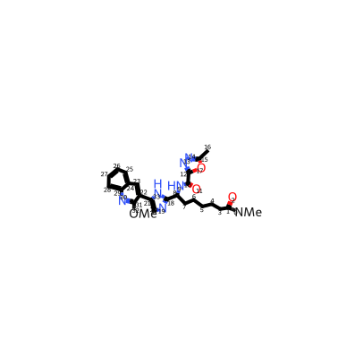 CNC(=O)CCCCCC(NC(=O)c1nnc(C)o1)c1ncc(-c2cc3ccccc3nc2OC)[nH]1